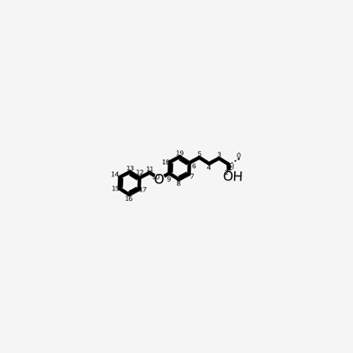 C[C@H](O)CCCc1ccc(OCc2ccccc2)cc1